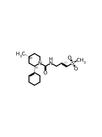 C[C@@H]1CCN(C(=O)NC/C=C/S(C)(=O)=O)[C@H](C2=CCCCC2)C1